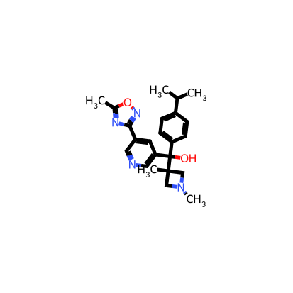 Cc1nc(-c2cncc(C(O)(c3ccc(C(C)C)cc3)C3(C)CN(C)C3)c2)no1